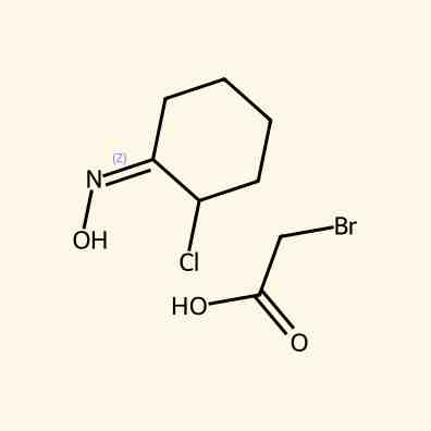 O/N=C1/CCCCC1Cl.O=C(O)CBr